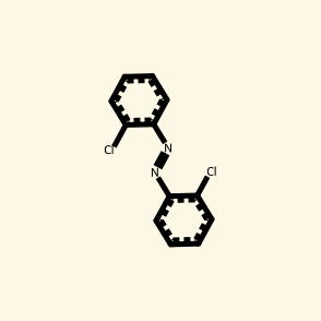 Clc1ccccc1/N=N/c1ccccc1Cl